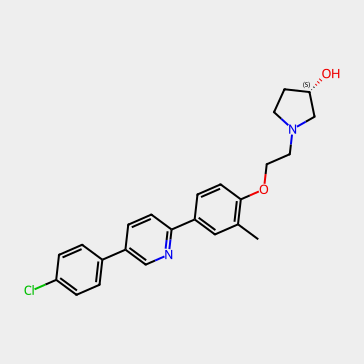 Cc1cc(-c2ccc(-c3ccc(Cl)cc3)cn2)ccc1OCCN1CC[C@H](O)C1